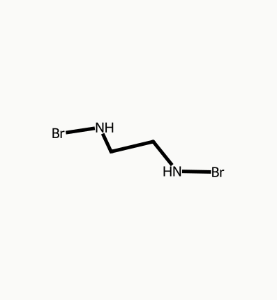 BrNCCNBr